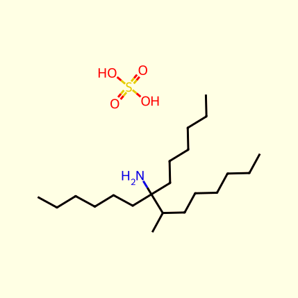 CCCCCCC(C)C(N)(CCCCCC)CCCCCC.O=S(=O)(O)O